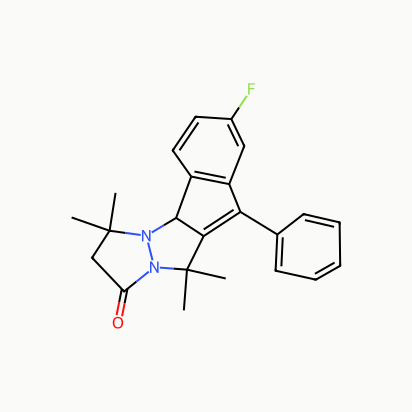 CC1(C)CC(=O)N2N1C1C(=C(c3ccccc3)c3cc(F)ccc31)C2(C)C